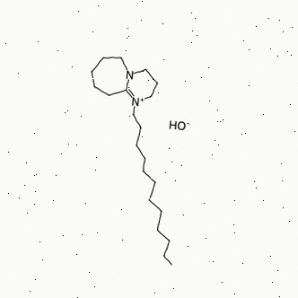 CCCCCCCCCCCC[N+]1=C2CCCCCN2CCC1.[OH-]